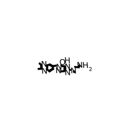 Cc1nc2ccc(Cn3ncc4nc(N(C)CCN)[nH]c4c3=O)cc2nc1C